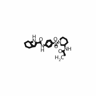 C=CC(=O)NC1CCCCN(S(=O)(=O)c2ccc(NC(=O)c3cc4c([nH]3)CCCC4)cc2)C1